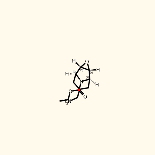 CCOC(=O)N1[C@@H]2CC(CN)C[C@H]1[C@@H]1O[C@@H]12